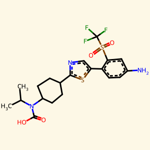 CC(C)N(C(=O)O)C1CCC(c2ncc(-c3ccc(N)cc3S(=O)(=O)C(F)(F)F)s2)CC1